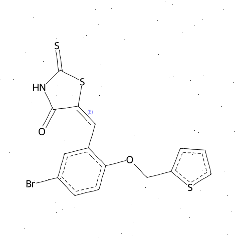 O=C1NC(=S)S/C1=C/c1cc(Br)ccc1OCc1cccs1